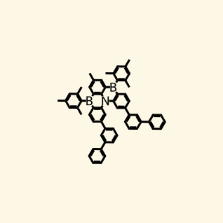 Cc1cc(C)c(B2c3ccc(-c4cccc(-c5ccccc5)c4)cc3N3c4cc(-c5cccc(-c6ccccc6)c5)ccc4B(c4c(C)cc(C)cc4C)c4cc(C)cc2c43)c(C)c1